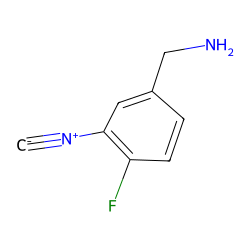 [C-]#[N+]c1cc(CN)ccc1F